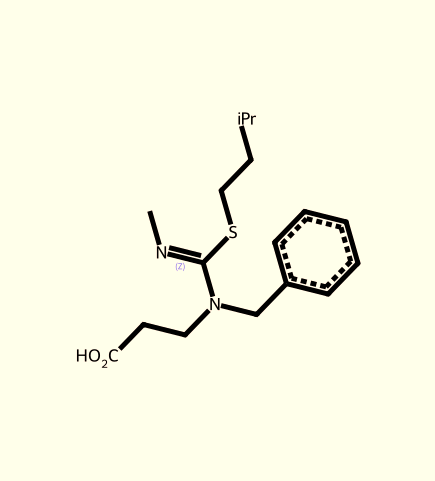 C/N=C(\SCCC(C)C)N(CCC(=O)O)Cc1ccccc1